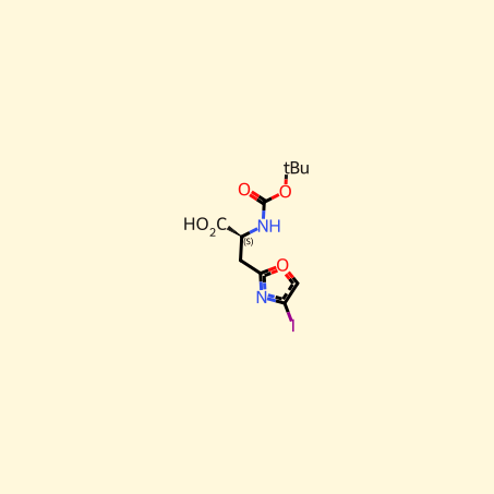 CC(C)(C)OC(=O)N[C@@H](Cc1nc(I)co1)C(=O)O